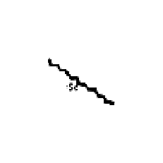 C=CCCCCCCCCCCCCC.[Se]